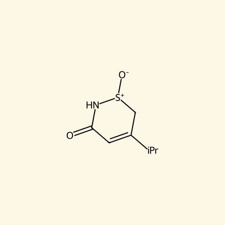 CC(C)C1=CC(=O)N[S+]([O-])C1